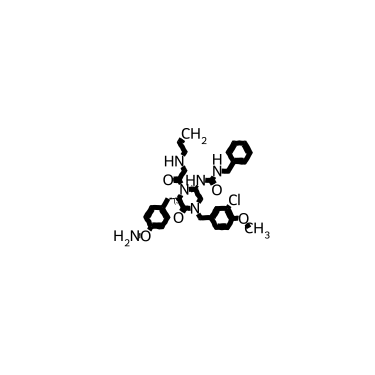 C=CCNCC(=O)N1[C@@H](NC(=O)NCc2ccccc2)CN(Cc2ccc(OC)c(Cl)c2)C(=O)[C@@H]1Cc1ccc(ON)cc1